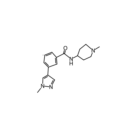 CN1CCC(NC(=O)c2c[c]cc(-c3cnn(C)c3)c2)CC1